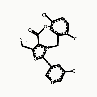 NCc1nc(-c2cncc(Cl)c2)n(Cc2cc(Cl)ccc2Cl)c1C(=O)O